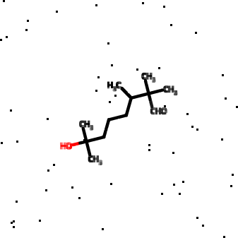 CC(CCCC(C)(C)O)C(C)(C)C=O